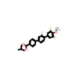 CC1COC(c2ccc(-c3ccc(-c4cc(F)c(OC(F)(F)F)c(F)c4)c(F)c3)cc2)OC1